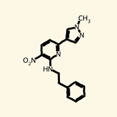 Cn1cc(-c2ccc([N+](=O)[O-])c(NCCc3ccccc3)n2)cn1